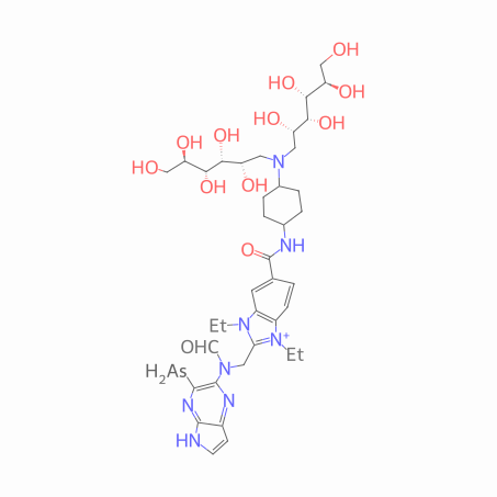 CCn1c(CN(C=O)c2nc3cc[nH]c3nc2[AsH2])[n+](CC)c2ccc(C(=O)NC3CCC(N(C[C@H](O)[C@@H](O)[C@H](O)[C@H](O)CO)C[C@H](O)[C@@H](O)[C@H](O)[C@H](O)CO)CC3)cc21